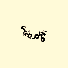 c1ccc(-c2c(-c3ccc(CN4CCC(c5nnc(-c6cccs6)[nH]5)CC4)cc3)nc3scnn23)cc1